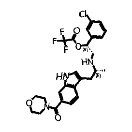 C[C@H](Cc1c[nH]c2cc(C(=O)N3CCOCC3)ccc12)NC[C@H](OC(=O)C(F)(F)F)c1cccc(Cl)c1